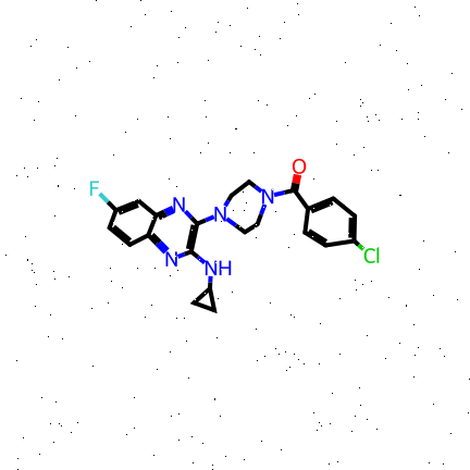 O=C(c1ccc(Cl)cc1)N1CCN(c2nc3cc(F)ccc3nc2NC2CC2)CC1